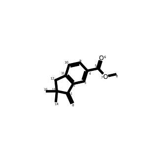 C=C1c2cc(C(=O)OC)ccc2CC1(C)C